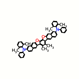 Cc1cccc(C)c1N(c1ccccc1)c1ccc2cc3c(cc2c1)oc1c2oc4cc5cc(N(c6ccccc6)c6c(C)cccc6C)ccc5cc4c2c(C)c(C)c31